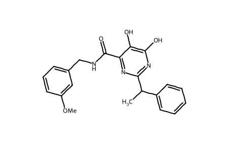 COc1cccc(CNC(=O)c2nc(C(C)c3ccccc3)nc(O)c2O)c1